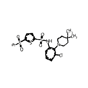 CC(C)S(=O)(=O)c1ccc(S(=O)(=O)Nc2cccc(Cl)c2N2CCC(C)(C)CC2)s1